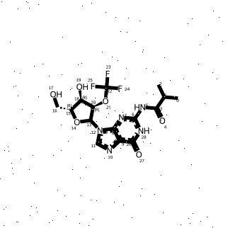 CC(C)C(=O)Nc1nc2c(ncn2C2O[C@H](CO)[C@@H](O)[C@H]2OC(F)(F)F)c(=O)[nH]1